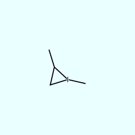 CC1CI1C